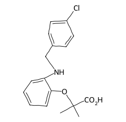 CC(C)(Oc1ccccc1NCc1ccc(Cl)cc1)C(=O)O